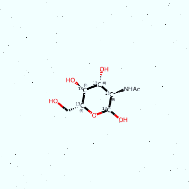 CC(=O)N[13C@H]1[13CH](O)O[13C@H](CO)[13C@@H](O)[13C@@H]1O